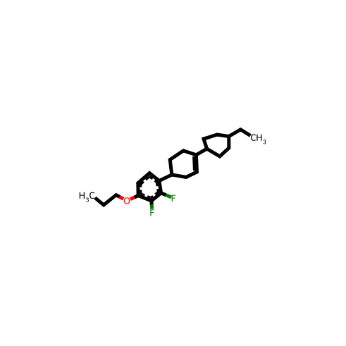 CCCOc1ccc(C2CC=C(C3CCC(CC)CC3)CC2)c(F)c1F